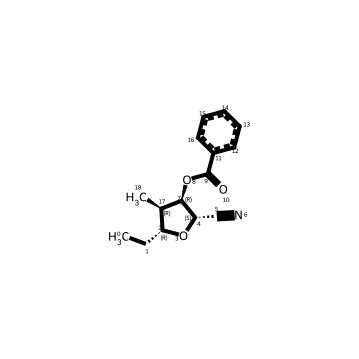 CC[C@H]1O[C@@H](C#N)[C@H](OC(=O)c2ccccc2)[C@@H]1C